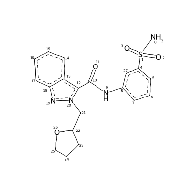 NS(=O)(=O)c1cccc(NC(=O)c2c3ccccc3nn2CC2CCCO2)c1